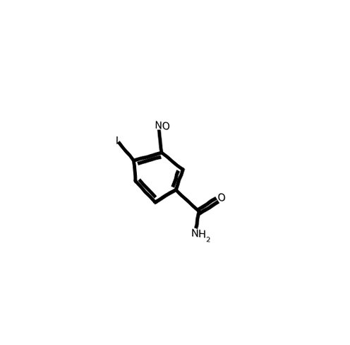 NC(=O)c1ccc(I)c(N=O)c1